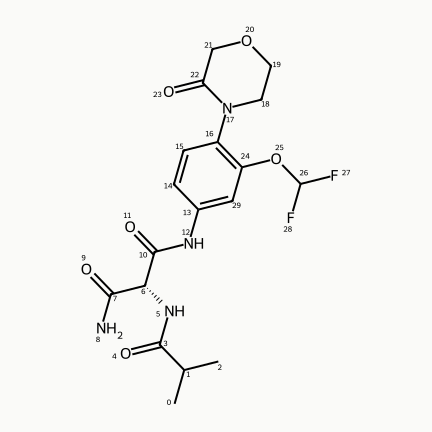 CC(C)C(=O)N[C@H](C(N)=O)C(=O)Nc1ccc(N2CCOCC2=O)c(OC(F)F)c1